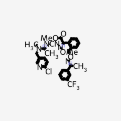 C/C(=N\C#N)N(C)Cc1ccc(Cl)nc1.CO/N=C(/C(=O)OC)c1ccccc1CO/N=C(\C)c1cccc(C(F)(F)F)c1